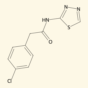 O=C(Cc1ccc(Cl)cc1)Nc1nncs1